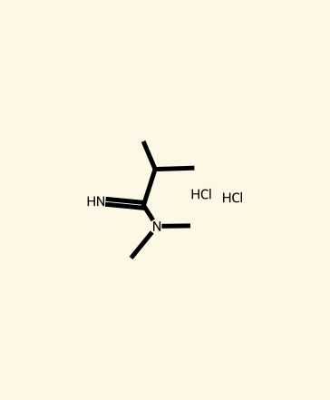 CC(C)C(=N)N(C)C.Cl.Cl